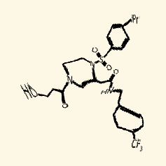 CC(C)c1ccc(S(=O)(=O)N2CCN(C(=O)CCO)CC2C(=O)NCc2ccc(C(F)(F)F)cc2)cc1